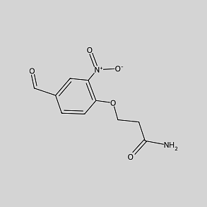 NC(=O)CCOc1ccc(C=O)cc1[N+](=O)[O-]